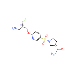 NC/C(=C/F)COc1ccc(S(=O)(=O)N2CC[C@H](C(N)=O)C2)cn1